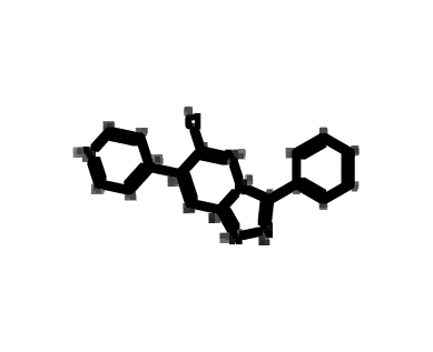 Clc1nn2c(-c3ccccc3)nnc2cc1-c1ccncc1